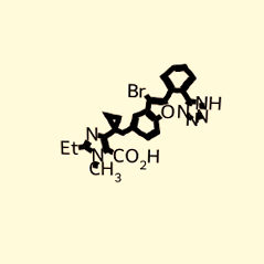 CCc1nc(C2(Cc3ccc4oc(-c5ccccc5-c5nnn[nH]5)c(Br)c4c3)CC2)c(C(=O)O)n1C